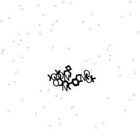 Cc1nc(C)c(C(OC(C)(C)C)C(=O)OC(C)C)c(N2CCC3(CCC3)CC2)c1-c1ccc2c(c1)CCN(C(=O)OC(C)(C)C)C2